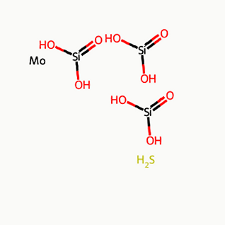 O=[Si](O)O.O=[Si](O)O.O=[Si](O)O.S.[Mo]